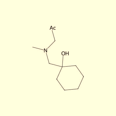 CC(=O)CN(C)CC1(O)CCCCC1